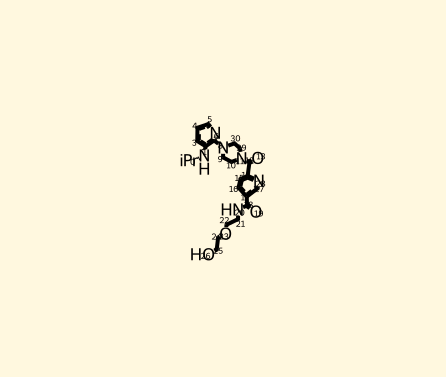 CC(C)Nc1cccnc1N1CCN(C(=O)c2ccc(C(=O)NCCOCCO)cn2)CC1